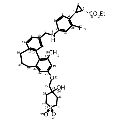 CCOC(=O)[C@H]1C[C@@H]1c1ccc(NCc2ccc3c(c2)-c2c(C)cc(OCC4(O)CCS(=O)(=O)CC4)cc2CCC3)cc1F